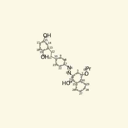 CC(C)Oc1cc(N=Nc2ccc(CCc3cc(O)ccc3O)cc2)c(O)c2ccccc12